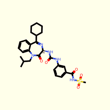 CC(C)CN1C(=O)[C@H](NC(=O)Nc2cccc(C(=O)NS(C)(=O)=O)c2)N=C(C2CCCCC2)c2ccccc21